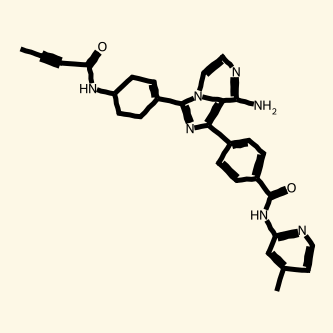 CC#CC(=O)NC1CC=C(c2nc(-c3ccc(C(=O)Nc4cc(C)ccn4)cc3)c3c(N)nccn23)CC1